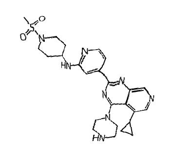 CS(=O)(=O)N1CCC(Nc2cc(-c3nc(N4CCNCC4)c4c(C5CC5)cncc4n3)ccn2)CC1